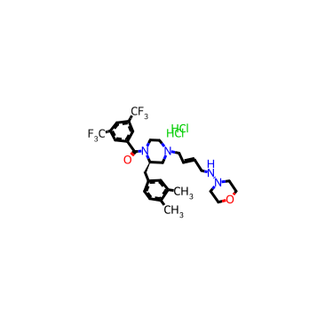 Cc1ccc(C[C@@H]2CN(C/C=C/CNN3CCOCC3)CCN2C(=O)c2cc(C(F)(F)F)cc(C(F)(F)F)c2)cc1C.Cl.Cl